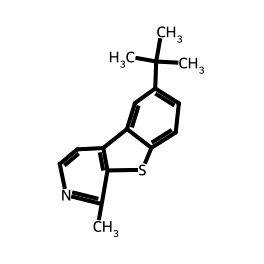 Cc1nccc2c1sc1ccc(C(C)(C)C)cc12